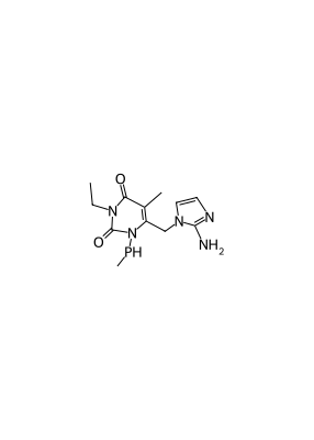 CCn1c(=O)c(C)c(Cn2ccnc2N)n(PC)c1=O